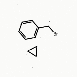 BrCc1ccccc1.C1CC1